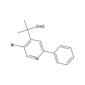 CC(C)(C=O)c1cc(-c2ccccc2)ncc1Br